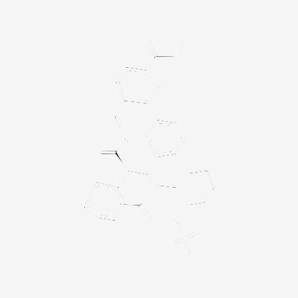 COC(=O)c1ccc(CNC(=O)[C@@H]2c3ccccc3C(=O)N(C3CCCC[C@@H]3NS(C)(=O)=O)[C@H]2c2ccc(Cl)cc2Cl)cc1